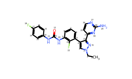 CCn1cc(-c2cccc(NC(=O)Nc3ccc(F)cc3)c2F)c(-c2ccnc(N)n2)n1